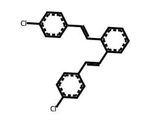 Clc1ccc(C=Cc2ccccc2C=Cc2ccc(Cl)cc2)cc1